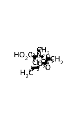 C=CCOC(=O)C=C.CC(C(=O)O)N(C)C